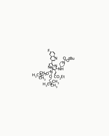 CCOC(=O)/C=C/c1c(NC2CCN(C(=O)OC(C)(C)C)CC2)nc2c(-c3cnc4ccc(F)cc4c3)cnn2c1N(COCC[Si](C)(C)C)COCC[Si](C)(C)C